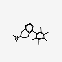 Cc1c(C)c(C)c(-c2cccc3c2CCC(N(C)C)C3)c(C)c1C